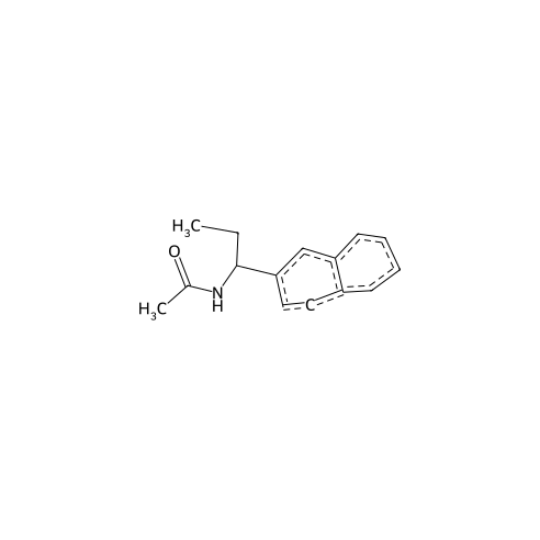 CCC(NC(C)=O)c1ccc2ccccc2c1